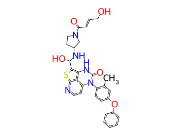 Cc1cc(Oc2ccccc2)ccc1N1C(=O)Nc2c(C(O)N[C@@H]3CCN(C(=O)/C=C/CO)C3)sc3nccc1c23